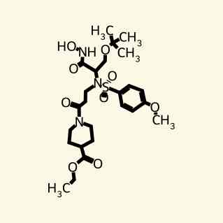 CCOC(=O)C1CCN(C(=O)CCN(C(COC(C)(C)C)C(=O)NO)S(=O)(=O)c2ccc(OC)cc2)CC1